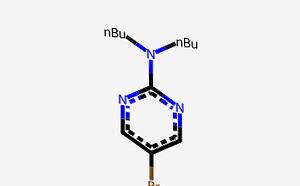 CCCCN(CCCC)c1ncc(Br)cn1